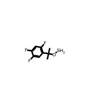 CC(C)(O[SiH3])c1cc(F)c(F)cc1F